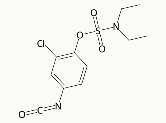 CCN(CC)S(=O)(=O)Oc1ccc(N=C=O)cc1Cl